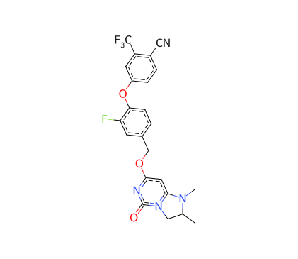 CC1Cn2c(cc(OCc3ccc(Oc4ccc(C#N)c(C(F)(F)F)c4)c(F)c3)nc2=O)N1C